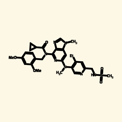 CCc1cc(CNS(C)(=O)=O)ncc1N(C)c1cc2c(ncn2C)c(N(Cc2ccc(OC)cc2OC)C(=O)C2CC2)n1